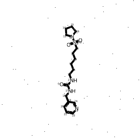 O=C(NCCCCCCS(=O)(=O)N1CCCC1)NCc1cccnc1